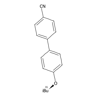 CC[C@H](C)Oc1ccc(-c2ccc(C#N)cc2)cc1